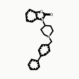 O=c1oc2ccccc2n1C1CCN(Cc2ccc(-c3ccccc3)cc2)CC1